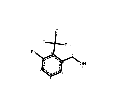 OCc1cccc(Br)c1C(F)(F)F